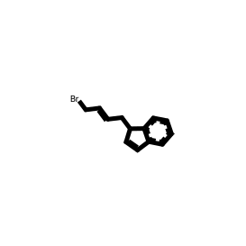 BrC/C=C/CC1C=Cc2c[c]ccc21